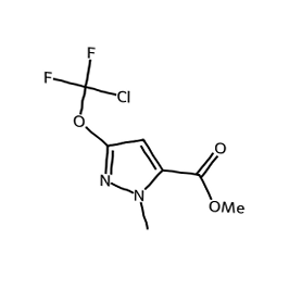 COC(=O)c1cc(OC(F)(F)Cl)nn1C